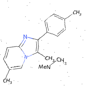 CNC.Cc1ccc(-c2nc3ccc(C)cn3c2C)cc1